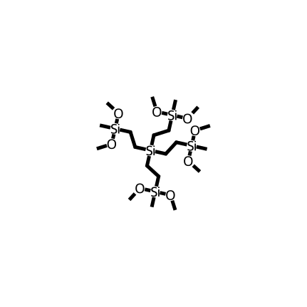 CO[Si](C)(CC[Si](CC[Si](C)(OC)OC)(CC[Si](C)(OC)OC)CC[Si](C)(OC)OC)OC